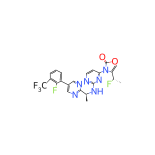 C[C@H](F)c1coc(=O)n1-c1ccnc(N[C@@H](C)c2ncc(-c3cccc(C(F)(F)F)c3F)cn2)n1